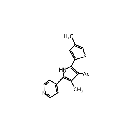 CC(=O)c1c(-c2cc(C)cs2)[nH]c(-c2ccncc2)c1C